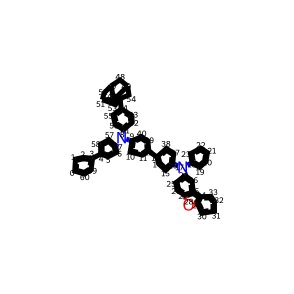 c1ccc(-c2ccc(N(c3ccc(-c4ccc(N(c5ccccc5)c5ccc6oc7ccccc7c6c5)cc4)cc3)c3ccc(C45CC6CC(CC(C6)C4)C5)cc3)cc2)cc1